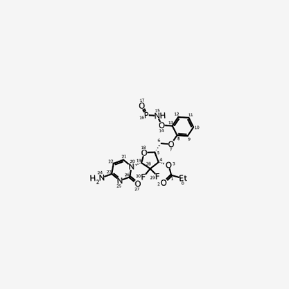 CCC(=O)O[C@H]1[C@@H](COc2ccccc2ONP=O)O[C@@H](n2ccc(N)nc2=O)C1(F)F